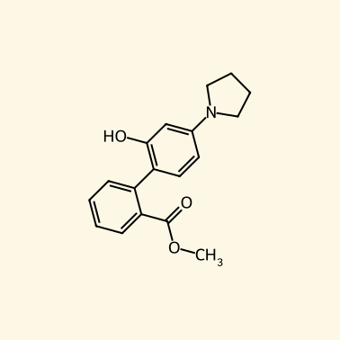 COC(=O)c1ccccc1-c1ccc(N2CCCC2)cc1O